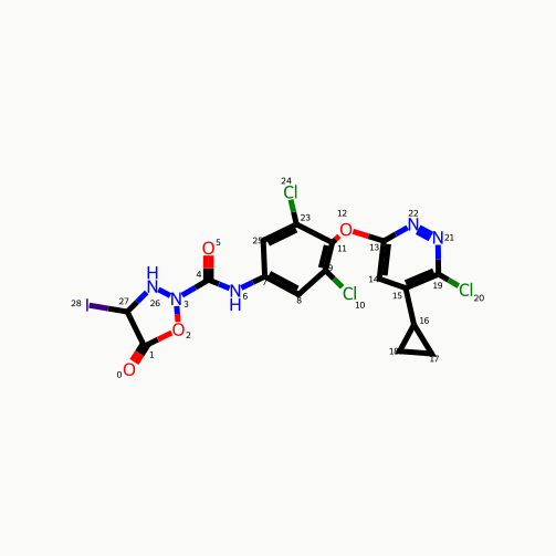 O=C1ON(C(=O)Nc2cc(Cl)c(Oc3cc(C4CC4)c(Cl)nn3)c(Cl)c2)NC1I